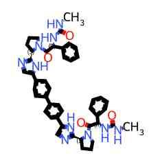 CNC(=O)N[C@@H](C(=O)N1CCC[C@H]1c1ncc(-c2ccc(-c3ccc(-c4cnc([C@@H]5CCCN5C(=O)[C@H](NC(=O)NC)c5ccccc5)[nH]4)cc3)cc2)[nH]1)c1ccccc1